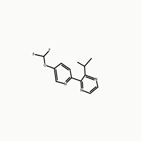 CC(C)c1nccnc1-c1ccc(OC(F)F)cn1